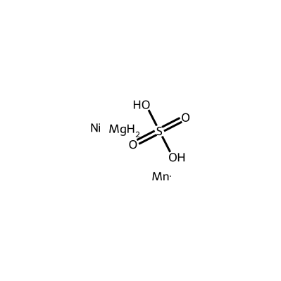 O=S(=O)(O)O.[MgH2].[Mn].[Ni]